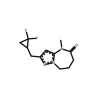 CN1C(=O)CCCn2nc(CC3CC3(F)F)cc21